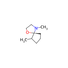 CC1CCC[C@]12OCCN2C